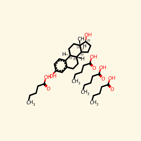 CCCCC(=O)O.CCCCC(=O)O.CCCCC(=O)O.CCCCC(=O)O.C[C@]12CC[C@@H]3c4ccc(O)cc4CC[C@H]3[C@@H]1CC[C@@H]2O